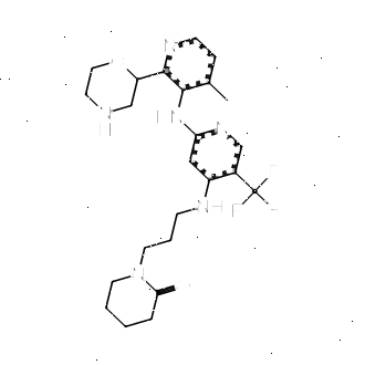 Cc1ccnc(C2CNCCO2)c1Nc1cc(NCCCN2CCCCC2=O)c(C(F)(F)F)cn1